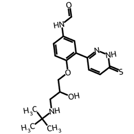 CC(C)(C)NCC(O)COc1ccc(NC=O)cc1-c1ccc(=S)[nH]n1